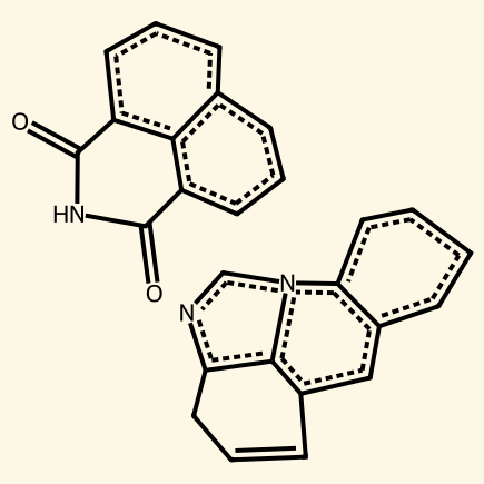 C1=Cc2cc3ccccc3n3cnc(c23)C1.O=C1NC(=O)c2cccc3cccc1c23